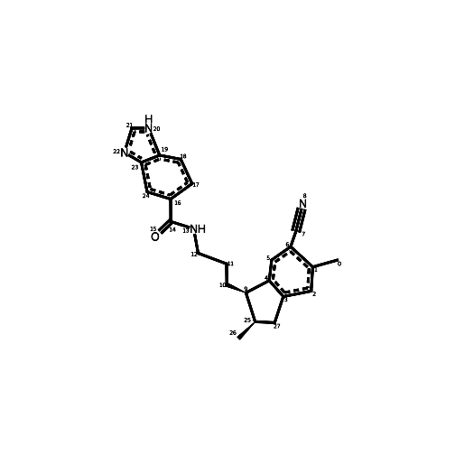 Cc1cc2c(cc1C#N)[C@H](CCCNC(=O)c1ccc3[nH]cnc3c1)[C@H](C)C2